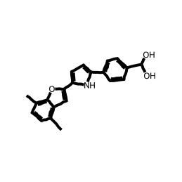 Cc1ccc(C)c2oc(-c3ccc(-c4ccc(C(O)O)cc4)[nH]3)cc12